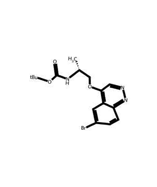 C[C@H](COc1cnnc2ccc(Br)cc12)NC(=O)OC(C)(C)C